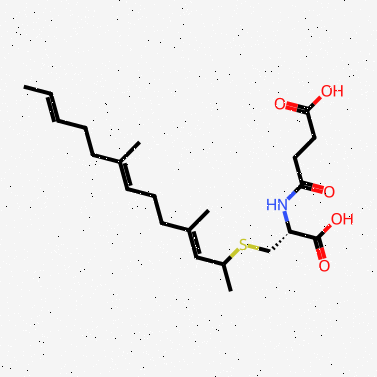 CC=CCC/C(C)=C/CC/C(C)=C/C(C)SC[C@H](NC(=O)CCC(=O)O)C(=O)O